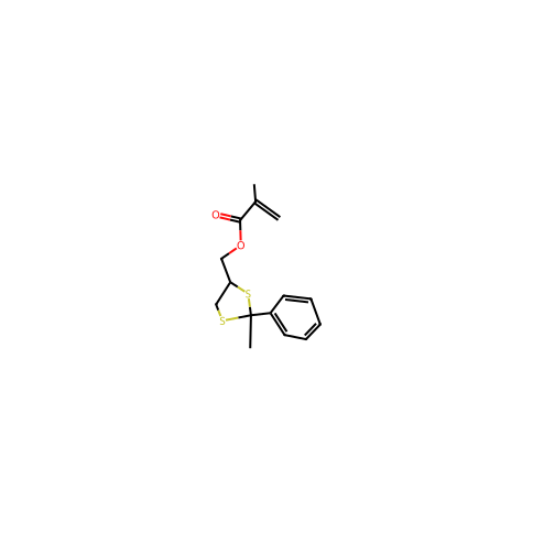 C=C(C)C(=O)OCC1CSC(C)(c2ccccc2)S1